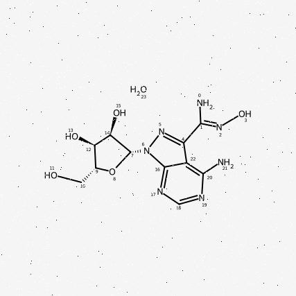 NC(=NO)c1nn([C@@H]2O[C@H](CO)[C@@H](O)[C@H]2O)c2ncnc(N)c12.O